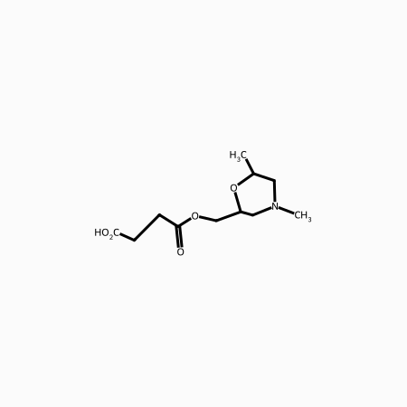 CC1CN(C)CC(COC(=O)CCC(=O)O)O1